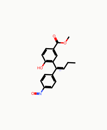 CC/C=C(/c1ccc(N=O)cc1)c1cc(C(=O)OC)ccc1O